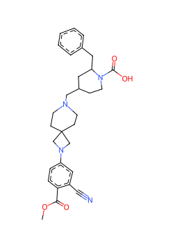 COC(=O)c1ccc(N2CC3(CCN(CC4CCN(C(=O)O)C(Cc5ccccc5)C4)CC3)C2)cc1C#N